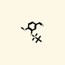 COc1ccc(C=O)[c]c1O[Si](C)(C)C(C)(C)C